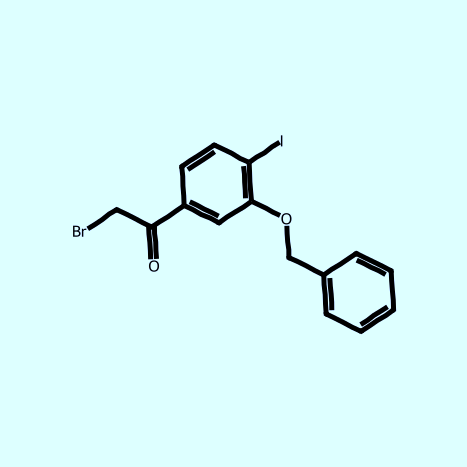 O=C(CBr)c1ccc(I)c(OCc2ccccc2)c1